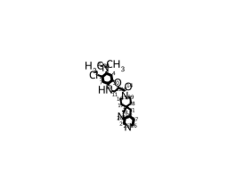 CN(C)c1cc2c(cc1Cl)NCC(C(=O)N1CCC(C#N)(Cc3ccncc3)CC1)O2